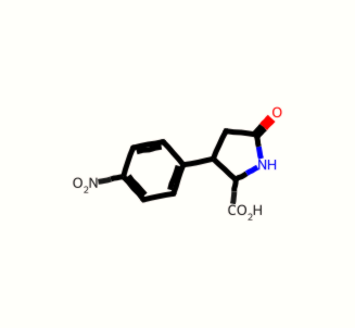 O=C1CC(c2ccc([N+](=O)[O-])cc2)C(C(=O)O)N1